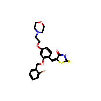 O=C1NC(=S)SC1=Cc1ccc(OCCN2CCOCC2)cc1OCc1ccccc1Br